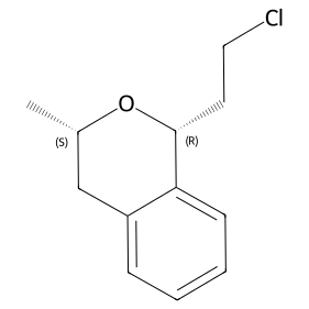 C[C@H]1Cc2ccccc2[C@@H](CCCl)O1